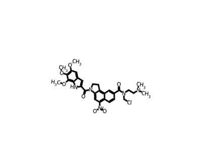 COc1cc2cc(C(=O)N3CCc4c3cc([N+](=O)[O-])c3ccc(C(=O)N(CCl)CCN(C)C)cc43)[nH]c2c(OC)c1OC